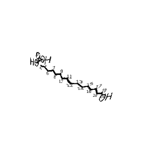 O=P(O)(O)CCCCCCCCCCCCCCCCO